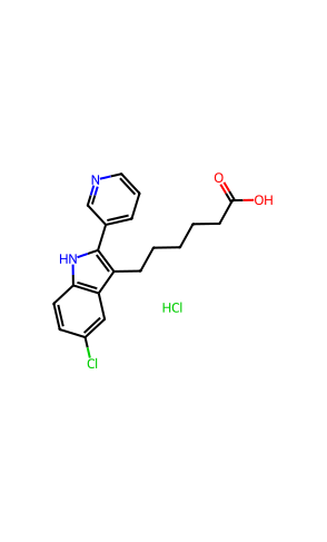 Cl.O=C(O)CCCCCc1c(-c2cccnc2)[nH]c2ccc(Cl)cc12